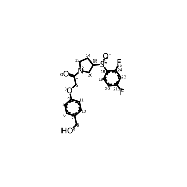 O=C(COc1ccc(CO)cc1)N1CCC([S+]([O-])c2ccc(F)cc2F)C1